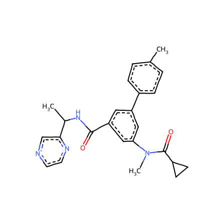 Cc1ccc(-c2cc(C(=O)NC(C)c3cnccn3)cc(N(C)C(=O)C3CC3)c2)cc1